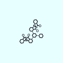 O=c1c2ccccc2n2c3cccc(-c4cc(-c5ccccc5)cc(-c5cccc6c5c(=O)n5c(=O)c7ccccc7n65)c4)c3c(=O)n12